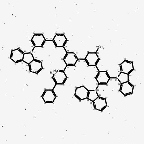 C=C(/C=C\C(=C/C)c1ccccc1)c1cc(C2=CC(c3cc(-n4c5c(c6ccccc64)C=CCC5)cc(-n4c5ccccc5c5ccccc54)c3)=CC(C)C2)nc(-c2cccc(-c3cccc(-n4c5ccccc5c5ccccc54)c3)c2)c1